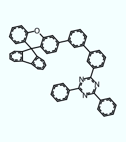 c1ccc(-c2nc(-c3ccccc3)nc(-c3cccc(-c4cccc(-c5ccc6c(c5)Oc5ccccc5C65c6ccccc6-c6ccccc65)c4)c3)n2)cc1